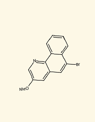 COc1cnc2c(c1)cc(Br)c1ccccc12